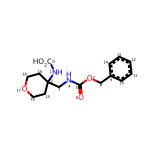 O=C(O)NC1(CNC(=O)OCc2ccccc2)CCOCC1